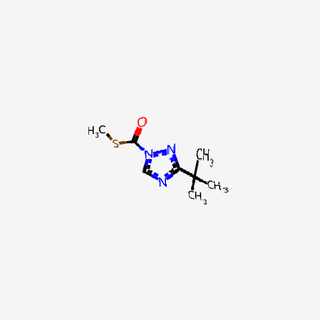 CSC(=O)n1cnc(C(C)(C)C)n1